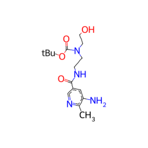 Cc1ncc(C(=O)NCCN(CCO)C(=O)OC(C)(C)C)cc1N